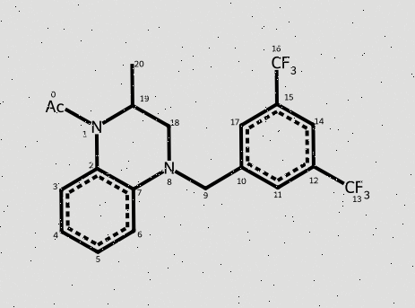 CC(=O)N1c2ccccc2N(Cc2cc(C(F)(F)F)cc(C(F)(F)F)c2)CC1C